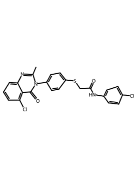 Cc1nc2cccc(Cl)c2c(=O)n1-c1ccc(SCC(=O)Nc2ccc(Cl)cc2)cc1